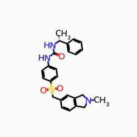 C[C@@H](NC(=O)Nc1ccc(S(=O)(=O)Cc2ccc3c(c2)CN(C)C3)cc1)c1ccccc1